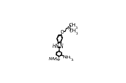 CNc1ccc(-c2nc3cc(OCCN(C)C)ccc3[nH]2)cc1N